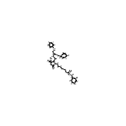 O=C(CCCCCCN1C(=O)CS(=O)(=O)C1CCC(COc1cccnc1)OCc1ccccc1)OCc1ccccc1